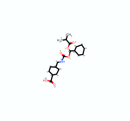 CC(C)C(=O)OC(OC(=O)NCC1CCC(C(=O)O)CC1)C1CCCCC1